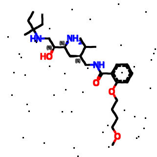 CCC(C)(CC)NC[C@H](O)[C@@H](N)C[C@H](CNC(=O)c1ccccc1OCCCCOC)C(C)C